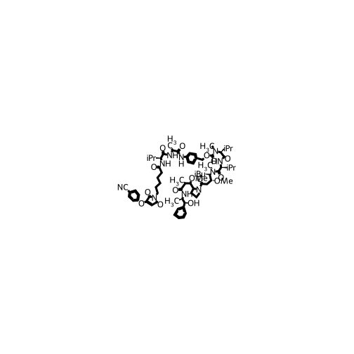 CC[C@H](C)[C@@H]([C@@H](CC(=O)N1CCCC1C(OC)[C@@H](C)C(=O)N[C@H](C)[C@@H](O)c1ccccc1)OC)N(C)C(=O)[C@@H](NC(=O)[C@H](C(C)C)N(C)C(=O)OCc1ccc(NC(=O)C(C)NC(=O)[C@@H](NC(=O)CCCCCN2C(=O)C=C(Oc3ccc(C#N)cc3)C2=O)C(C)C)cc1)C(C)C